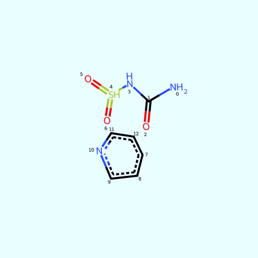 NC(=O)N[SH](=O)=O.c1ccncc1